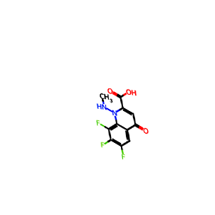 CNn1c(C(=O)O)cc(=O)c2cc(F)c(F)c(F)c21